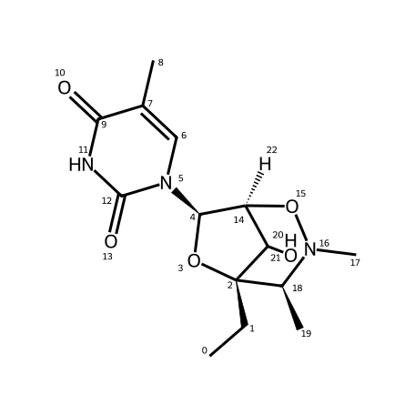 CC[C@]12O[C@@H](n3cc(C)c(=O)[nH]c3=O)[C@@H](ON(C)[C@H]1C)C2O